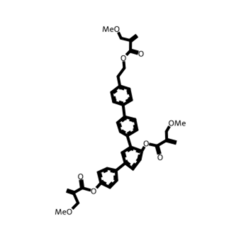 C=C(COC)C(=O)OCCc1ccc(-c2ccc(-c3cc(-c4ccc(OC(=O)C(=C)COC)cc4)ccc3OC(=O)C(=C)COC)cc2)cc1